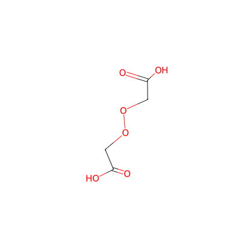 O=C(O)COOCC(=O)O